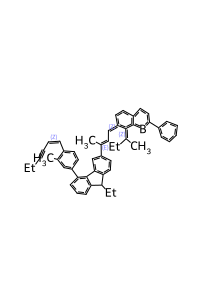 CCC#C/C=C\c1ccc(-c2cccc3c2-c2cc(/C(C)=C/C=c4/ccc5ccc(-c6ccccc6)bc5/c4=C(\C)CC)ccc2C3CC)cc1C